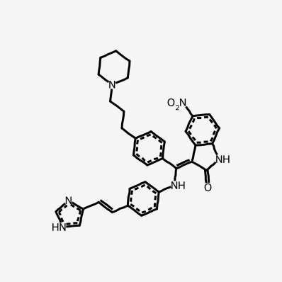 O=C1Nc2ccc([N+](=O)[O-])cc2C1=C(Nc1ccc(C=Cc2c[nH]cn2)cc1)c1ccc(CCCN2CCCCC2)cc1